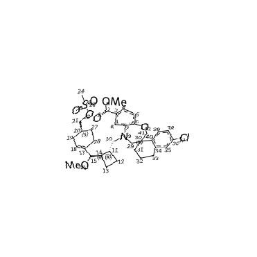 COC(=O)c1ccc2c(c1)N(C[C@@H]1CC[C@H]1C(OC)C1=CC[C@@H](COS(C)(=O)=O)CC1)C[C@@]1(CCCc3cc(Cl)ccc31)CO2